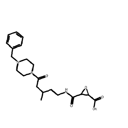 CC(CCNC(=O)C1OC1C(=O)O)CC(=O)N1CCN(Cc2ccccc2)CC1